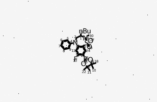 CCCCC1CN(c2ccccc2)c2cc(F)c(B3OC(C)(C)C(C)(C)O3)cc2S(=O)(=O)N1C